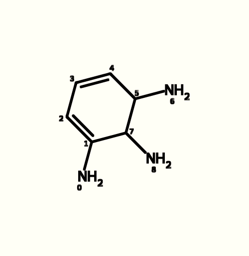 NC1=CC=CC(N)C1N